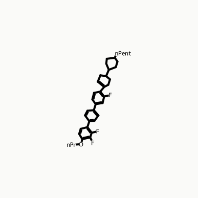 CCCCCC1CCC(C2CC=C(c3ccc(-c4ccc(-c5ccc(OCCC)c(F)c5F)cc4)cc3F)CC2)CC1